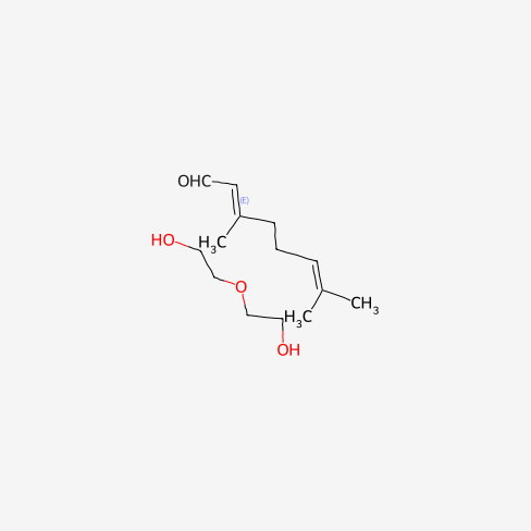 CC(C)=CCC/C(C)=C/C=O.OCCOCCO